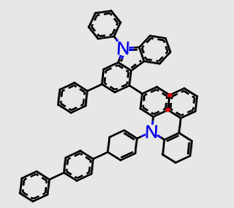 C1=CC(c2ccccc2)=C(N(C2=CCC(c3ccc(-c4ccccc4)cc3)C=C2)c2cccc(-c3cc(-c4ccccc4)cc4c3c3ccccc3n4-c3ccccc3)c2)CC1